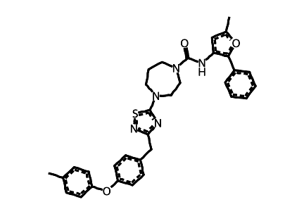 Cc1ccc(Oc2ccc(Cc3nsc(N4CCCN(C(=O)Nc5cc(C)oc5-c5ccccc5)CC4)n3)cc2)cc1